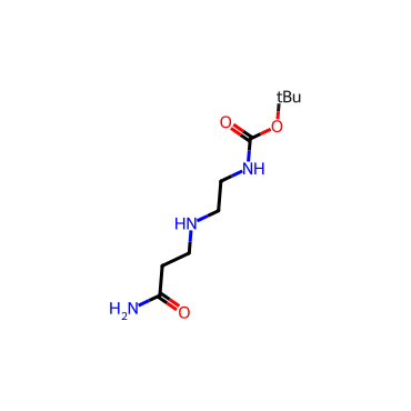 CC(C)(C)OC(=O)NCCNCCC(N)=O